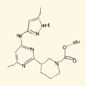 Cc1cc(Nc2cc(C)[nH]n2)nc(C2CCCN(C(=O)OC(C)(C)C)C2)n1